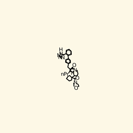 CCCc1c(Cc2ccc(-c3ccccc3-c3nnn[nH]3)cc2)c(=O)n2n1C(C1(C(=O)N3CCOCC3)CCCCC1)CCC2